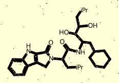 CC(C)CC(O)C(O)C(CC1CCCCC1)NC(=O)C(CC(C)C)N1Cc2c([nH]c3ccccc23)C1=O